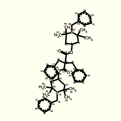 CC1(C)CC(OC(=O)C(Cc2ccccc2)(Cc2ccccc2)C(=O)OC2CC(C)(C)N(Cc3ccccc3)C(C)(C)C2)CC(C)(C)N1Cc1ccccc1